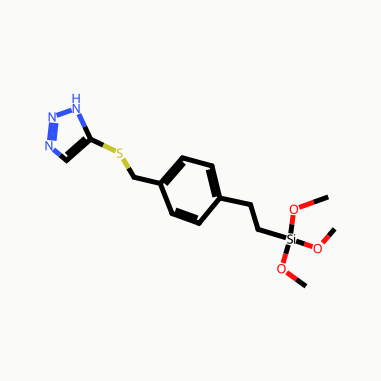 CO[Si](CCc1ccc(CSc2cnn[nH]2)cc1)(OC)OC